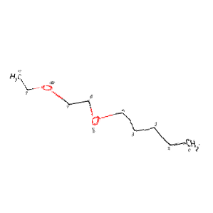 [CH2]CCCCOCCOCC